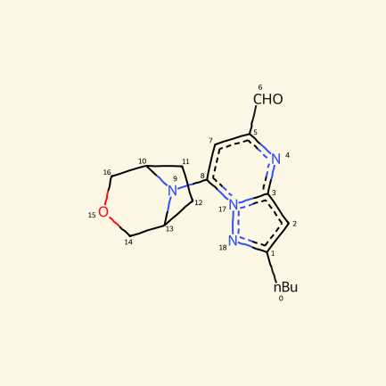 CCCCc1cc2nc(C=O)cc(N3C4CCC3COC4)n2n1